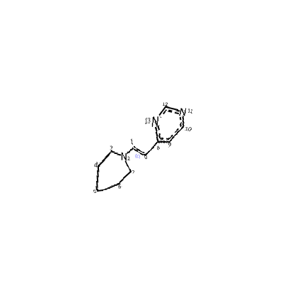 C(=C\N1CCCCC1)/c1ccncn1